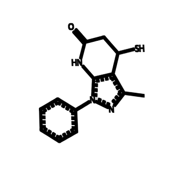 Cc1nn(-c2ccccc2)c2c1C(S)CC(=O)N2